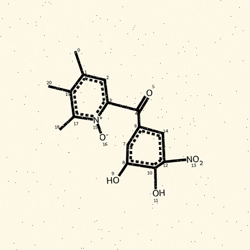 Cc1cc(C(=O)c2cc(O)c(O)c([N+](=O)[O-])c2)[n+]([O-])c(C)c1C